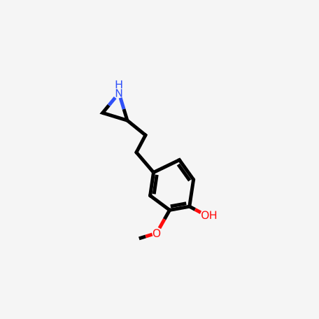 COc1cc(CCC2CN2)ccc1O